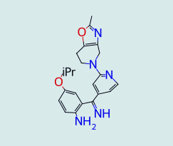 Cc1nc2c(o1)CCN(c1cc(C(=N)c3cc(OC(C)C)ccc3N)ccn1)C2